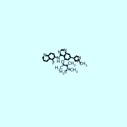 C[C@H](Oc1cc(-c2cnn(C)c2)cc2ncnc(Nc3ccc4ncccc4c3F)c12)[C@@H](C)N(C)C